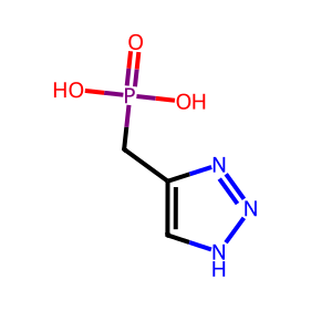 O=P(O)(O)Cc1c[nH]nn1